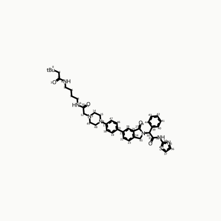 CC(C)(C)CC(=O)NCCCCNC(=O)CN1CCN(c2ccc(-c3ccc4c(c3)C(=O)N(C(C(=O)Nc3nccs3)c3ccccc3)C4)cc2)CC1